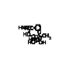 C=CC(=O)OCCO.Cc1ccccc1.N=C=O.N=C=O.OCCO